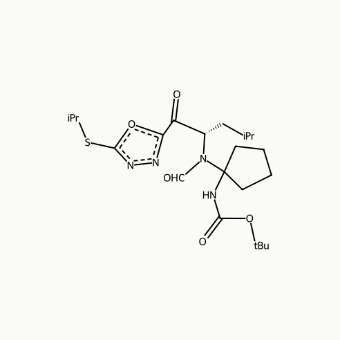 CC(C)C[C@@H](C(=O)c1nnc(SC(C)C)o1)N(C=O)C1(NC(=O)OC(C)(C)C)CCCC1